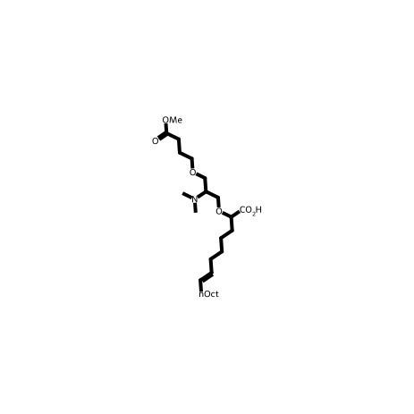 CCCCCCCCC=CCCCCC(OCC(COCCCC(=O)OC)N(C)C)C(=O)O